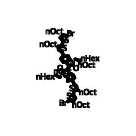 CCCCCCCCc1cc(-c2sc(-c3ccc4c(c3)N(CC(CCCCCC)CCCCCCCC)C(=O)C4=C3C(=O)N(CC(CCCCCC)CCCCCCCC)c4cc(-c5cc(CCCCCCCC)c(-c6cc(CCCCCCCC)c(Br)s6)s5)ccc43)cc2CCCCCCCC)sc1Br